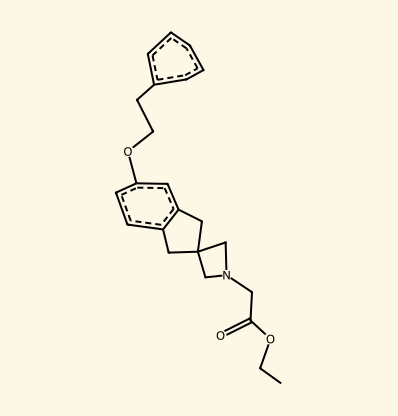 CCOC(=O)CN1CC2(Cc3ccc(OCCc4ccccc4)cc3C2)C1